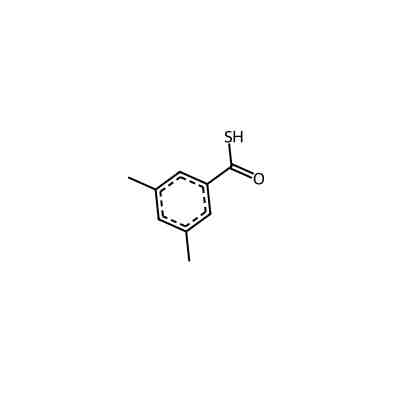 Cc1cc(C)cc(C(=O)S)c1